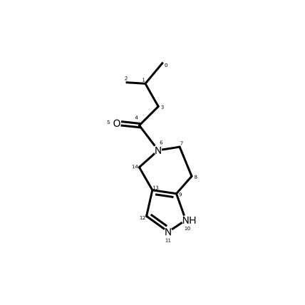 CC(C)CC(=O)N1CCc2[nH]ncc2C1